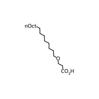 CCCCCCCCCCCCCCCCOCCC(=O)O